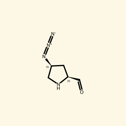 [N-]=[N+]=N[C@@H]1CN[C@H](C=O)C1